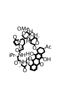 CO[C@H]1OCCN2[C@@H]1O[C@@H]1[C@H](C)OC(O[C@H]3C[C@H](C(C)=O)Cc4c(O)c5c(c(O)c43)C(=O)c3c(NC(=O)[C@H](C)NC(=O)[C@@H](NC(=O)CCCCCN4C(=O)C=CC4=O)C(C)C)cccc3C5=O)C[C@@H]12